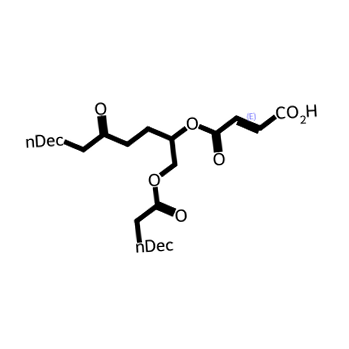 CCCCCCCCCCCC(=O)CCC(COC(=O)CCCCCCCCCCC)OC(=O)/C=C/C(=O)O